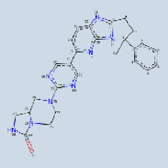 CC1(c2ccccc2)CCc2nc3ccc(-c4cnc(N5CCN6C(=O)NCC6C5)nc4)nc3n21